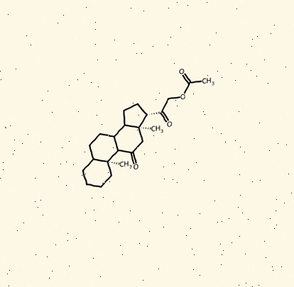 CC(=O)OCC(=O)[C@H]1CCC2C3CCC4CCCC[C@]4(C)C3C(=O)C[C@@]21C